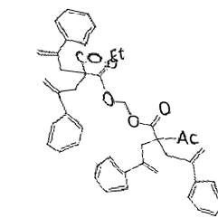 C=C(CC(CC(=C)c1ccccc1)(C(C)=O)C(=O)OCOC(=O)C(CC(=C)c1ccccc1)(CC(=C)c1ccccc1)C(=O)OCC)c1ccccc1